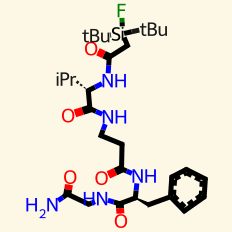 CC(C)[C@H](NC(=O)C[Si](F)(C(C)(C)C)C(C)(C)C)C(=O)NCCC(=O)N[C@@H](Cc1ccccc1)C(=O)NCC(N)=O